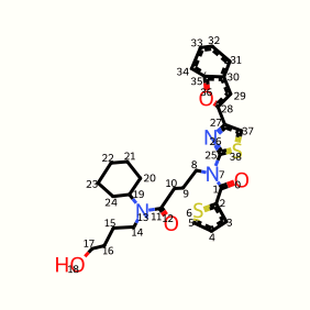 O=C(c1cccs1)N(CCCC(=O)N(CCCCO)C1CCCCC1)c1nc(-c2cc3ccccc3o2)cs1